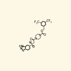 O=C(CS(=O)(=O)c1ccc2nn[nH]c2c1)N1CCN(C(=O)OCc2cc(C(F)(F)F)cc(C(F)(F)F)c2)CC1